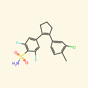 Cc1ccc(C2=C(c3cc(F)c(S(N)(=O)=O)c(F)c3)CCC2)cc1Cl